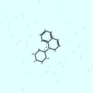 C1=Cc2ccccc2N(C2CCCCC2)C1